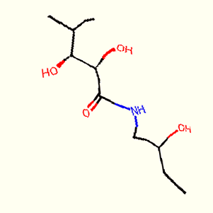 CCC(O)CNC(=O)[C@H](O)[C@@H](O)C(C)C